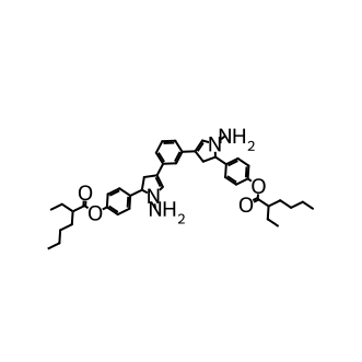 CCCCC(CC)C(=O)Oc1ccc(C2CC(c3cccc(C4=CN(N)C(c5ccc(OC(=O)C(CC)CCCC)cc5)C4)c3)=CN2N)cc1